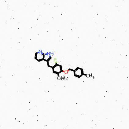 COc1cc(Cc2c[nH]c3ncccc23)c(F)cc1OCc1ccc(C)cc1